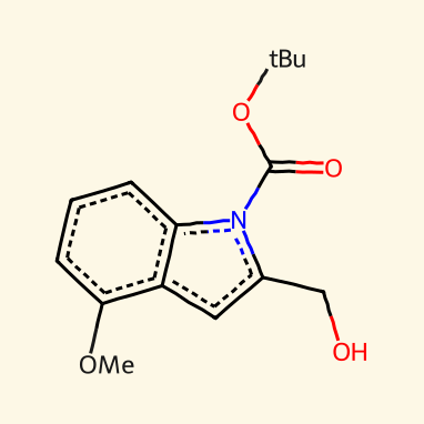 COc1cccc2c1cc(CO)n2C(=O)OC(C)(C)C